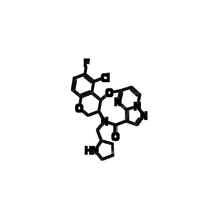 O=C1c2cnn3ccc(nc23)OC2c3c(ccc(F)c3Cl)OCC2N1CC1CCCN1